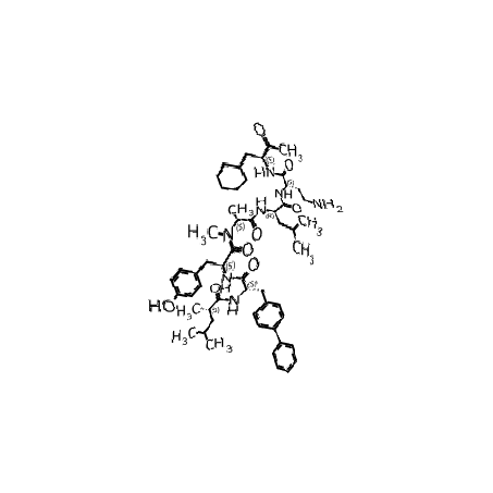 CC(=O)[C@H](CC1CCCCC1)NC(=O)[C@H](CCN)NC(=O)[C@@H](CC(C)C)NC(=O)[C@H](C)N(C)C(=O)[C@H](Cc1ccc(O)cc1)NC(=O)[C@H](Cc1ccc(-c2ccccc2)cc1)NC(=O)[C@@H](C)CC(C)C